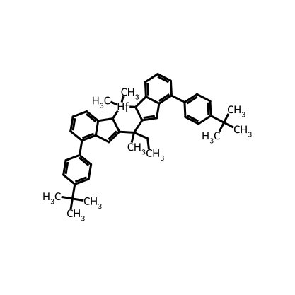 CCC1(C)C2=Cc3c(-c4ccc(C(C)(C)C)cc4)cccc3[CH]2[Hf]([CH3])([CH3])[CH]2C1=Cc1c(-c3ccc(C(C)(C)C)cc3)cccc12